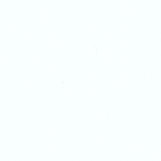 N#Cc1cc(OCF)cc([N+](=O)[O-])c1Cl